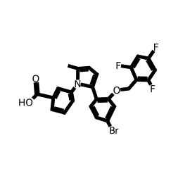 Cc1ccc(-c2ccc(Br)cc2OCc2c(F)cc(F)cc2F)n1-c1cccc(C(=O)O)c1